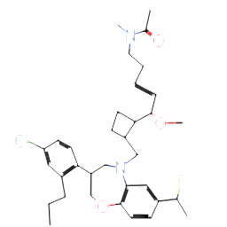 CCCc1cc(Cl)ccc1C1COc2ccc(C(C)F)cc2N(CC2CCC2C(/C=C/CCN(C)C(C)=O)OC)C1